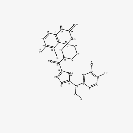 CCC(c1ccc(F)c(Cl)c1)c1nnc(C(=O)N2CCC[C@@]3(C2)OC(=O)Nc2ccc(Cl)c(F)c23)[nH]1